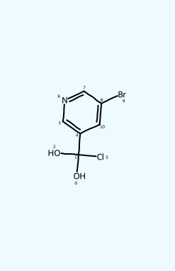 OC(O)(Cl)c1cncc(Br)c1